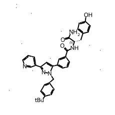 CC(C)(C)c1ccc(Cn2nc(-c3cccnc3)cc2-c2cccc(C(=O)N[C@@H](Cc3ccc(O)cc3)C(N)=O)c2)cc1